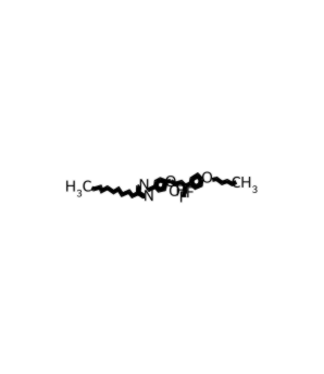 CCCCCCCCCCc1cnc(-c2ccc(OC(=O)CC(c3ccc(OCCCCCC)cc3)C(F)(F)F)cc2)nc1